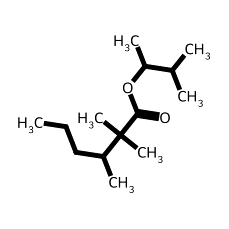 CCCC(C)C(C)(C)C(=O)OC(C)C(C)C